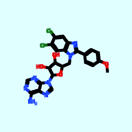 COc1ccc(-c2nc3cc(Cl)c(Cl)cc3n2CC2OC(n3cnc4c(N)ncnc43)C(O)C2O)cc1